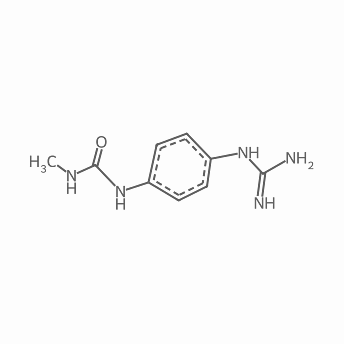 CNC(=O)Nc1ccc(NC(=N)N)cc1